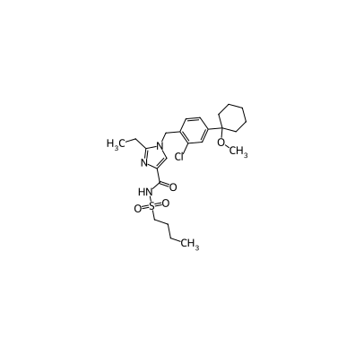 CCCCS(=O)(=O)NC(=O)c1cn(Cc2ccc(C3(OC)CCCCC3)cc2Cl)c(CC)n1